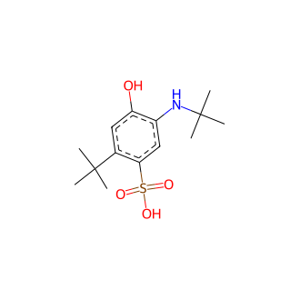 CC(C)(C)Nc1cc(S(=O)(=O)O)c(C(C)(C)C)cc1O